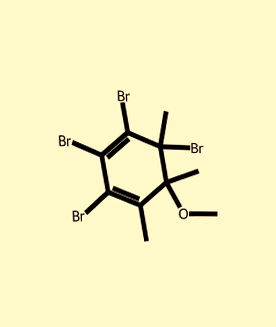 COC1(C)C(C)=C(Br)C(Br)=C(Br)C1(C)Br